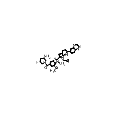 COc1cc(C(=O)N2C[C@H](N)C[C@@H](F)C2)cc2nc(-c3cc4ccc(-c5ccc6nncnc6c5)nc4n3CC3CC3)n(C)c12